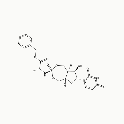 C[C@@H](N[P@@]1(=O)OC[C@H]2[C@@H](O)[C@H](n3ccc(=O)[nH]c3=O)O[C@@H]2CO1)C(=O)OCc1ccccc1